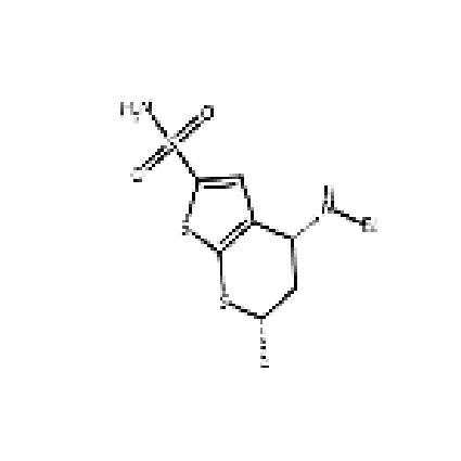 CCN[C@@H]1C[C@H](C)Sc2sc(S(N)(=O)=O)cc21